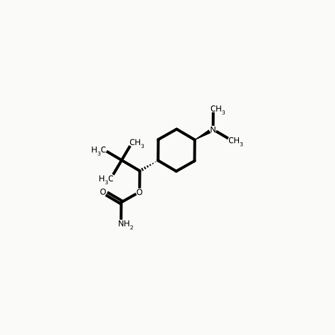 CN(C)[C@H]1CC[C@H](C(OC(N)=O)C(C)(C)C)CC1